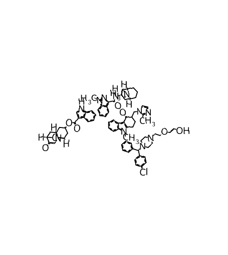 CN1[C@@H]2CCC[C@H]1C[C@@H](NC(=O)c1nn(C)c3ccccc13)C2.Cc1nccn1CC1CCc2c(c3ccccc3n2C)C1=O.O=C(O[C@@H]1C[C@@H]2C[C@@H]3C[C@H](C1)N2CC3=O)c1c[nH]c2ccccc12.OCCOCCN1CCN(C(c2ccccc2)c2ccc(Cl)cc2)CC1